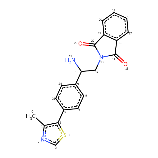 Cc1ncsc1-c1ccc(C(N)CN2C(=O)c3ccccc3C2=O)cc1